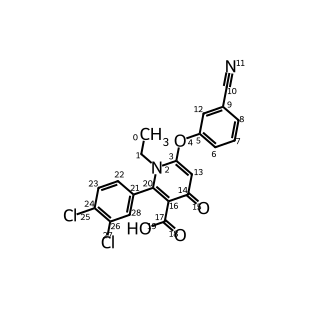 CCn1c(Oc2cccc(C#N)c2)cc(=O)c(C(=O)O)c1-c1ccc(Cl)c(Cl)c1